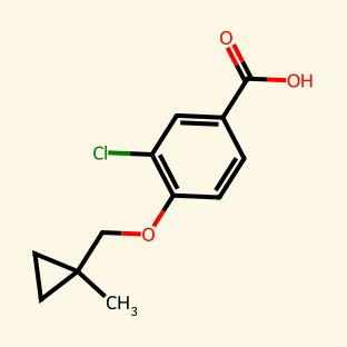 CC1(COc2ccc(C(=O)O)cc2Cl)CC1